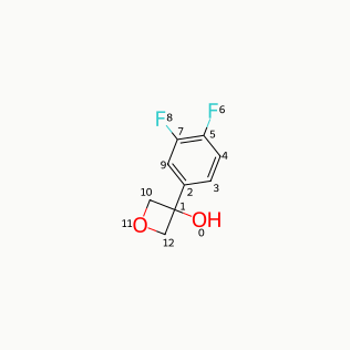 OC1(c2ccc(F)c(F)c2)COC1